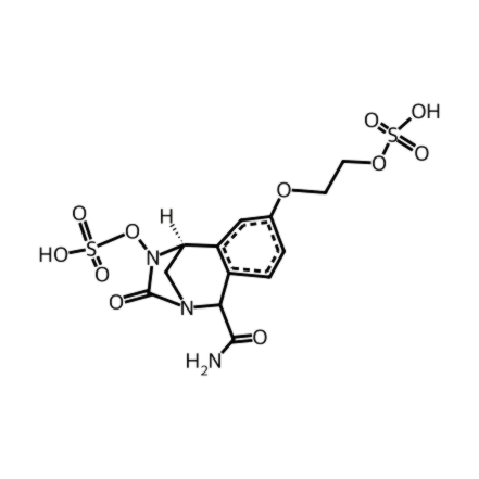 NC(=O)C1c2ccc(OCCOS(=O)(=O)O)cc2[C@H]2CN1C(=O)N2OS(=O)(=O)O